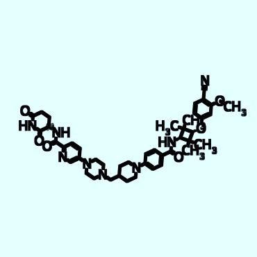 COc1cc(O[C@H]2C(C)(C)[C@H](NC(=O)c3ccc(N4CCC(CN5CCN(c6ccc(C(=O)N[C@H]7CCC(=O)NC7=O)nc6)CC5)CC4)cc3)C2(C)C)ccc1C#N